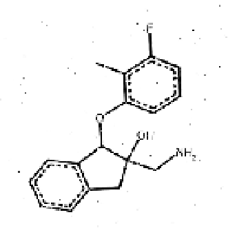 Cc1c(F)cccc1OC1c2ccccc2CC1(O)CN